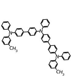 Cc1cccc(N(c2ccccc2)c2ccc(-c3ccc(N(c4ccccc4)c4ccc(-c5ccc(N(c6ccccc6)c6cccc(C)c6)cc5)cc4)cc3)cc2)c1